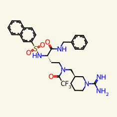 N=C(N)N1CCC[C@@H](CN(CC[C@H](NS(=O)(=O)c2ccc3ccccc3c2)C(=O)NCc2ccccc2)C(=O)C(F)(F)F)C1